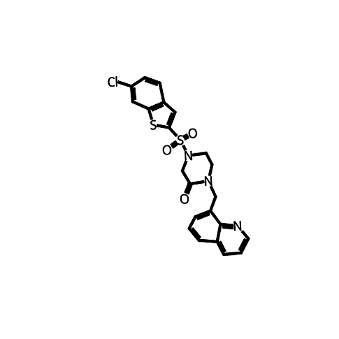 O=C1CN(S(=O)(=O)c2cc3ccc(Cl)cc3s2)CCN1Cc1cccc2cccnc12